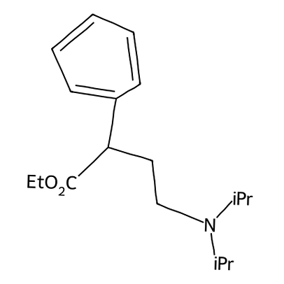 CCOC(=O)C(CCN(C(C)C)C(C)C)c1ccccc1